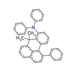 CC1(C)c2c(cccc2N(c2ccccc2)c2ccccc2)-c2c(-c3ccccc3)ccc3cccc1c23